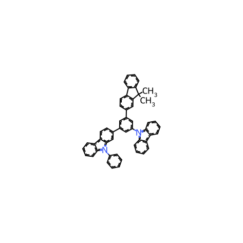 CC1(C)c2ccccc2-c2ccc(-c3cc(-c4ccc5c6ccccc6n(-c6ccccc6)c5c4)cc(-n4c5ccccc5c5ccccc54)c3)cc21